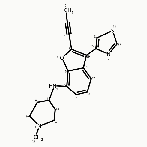 CC#Cc1oc2c(NC3CCN(C)CC3)cccc2c1-c1cscn1